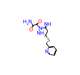 N=C(CCSCc1ccccn1)N(N)C(=O)C(N)=O